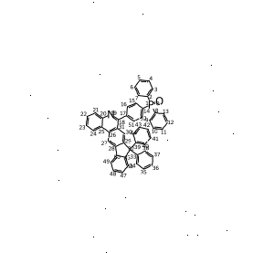 O=P(c1ccccc1)(c1ccccc1)c1ccc(-c2nc3ccccc3c3cc4c(cc23)C(c2ccccc2)(c2ccccc2)c2ccccc2-4)cc1